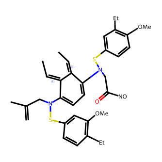 C=C(C)CN(Sc1ccc(CC)c(OC)c1)c1ccc(N(CC(=O)N=O)Sc2ccc(OC)c(CC)c2)c(=C/C)/c1=C\C